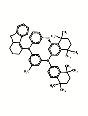 Cc1cccc(N(C2=C3c4ccccc4OC3CCC2)c2cc(C)cc(N(c3ccc4c(c3)C(C)(C)CCC4(C)C)c3ccc4c(c3)C(C)(C)CCC4(C)C)c2)c1